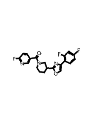 O=C(c1ccc(F)nc1)N1CCCC(c2nc(-c3ccc(F)cc3F)co2)C1